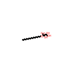 CCCCCCCCCCCCCCCCCOC1=C(O)[C@@H]([C@@H](O)CO)OC1=O